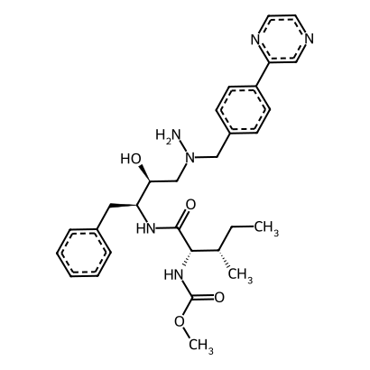 CC[C@H](C)[C@H](NC(=O)OC)C(=O)N[C@@H](Cc1ccccc1)[C@@H](O)CN(N)Cc1ccc(-c2cnccn2)cc1